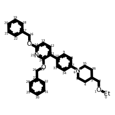 CCOCC1CCN(c2ccc(-c3ccc(OCc4ccccc4)nc3OCc3ccccc3)cc2)CC1